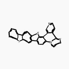 c1ccc2c(c1)sc1cc3c(cc12)sc1c3ccc2c1c1cnccc1c1nccn21